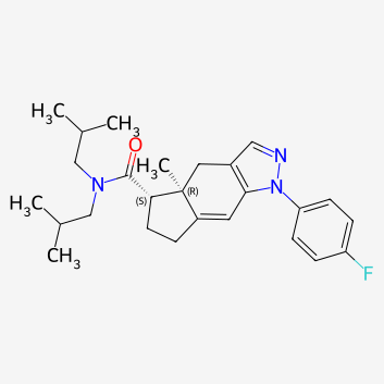 CC(C)CN(CC(C)C)C(=O)[C@H]1CCC2=Cc3c(cnn3-c3ccc(F)cc3)C[C@@]21C